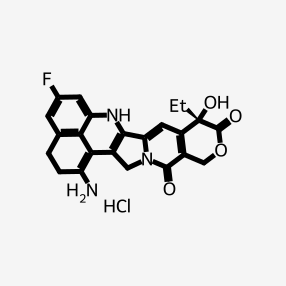 CC[C@@]1(O)C(=O)OCc2c1cc1n(c2=O)CC2=C1Nc1cc(F)cc3c1C2=C(N)CC3.Cl